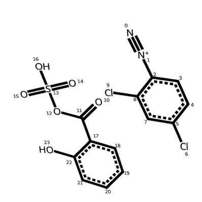 N#[N+]c1ccc(Cl)cc1Cl.O=C(OS(=O)(=O)O)c1ccccc1O